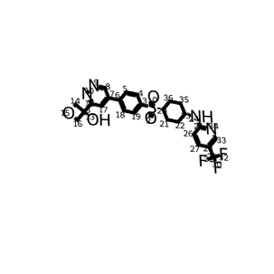 O=S(=O)(c1ccc(-c2cnnc(C3(O)COC3)c2)cc1)[C@H]1CC[C@H](Nc2ccc(C(F)(F)F)cn2)CC1